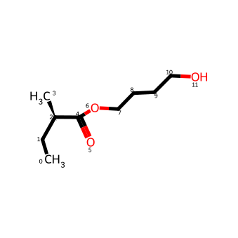 CC[C@@H](C)C(=O)OCCCCO